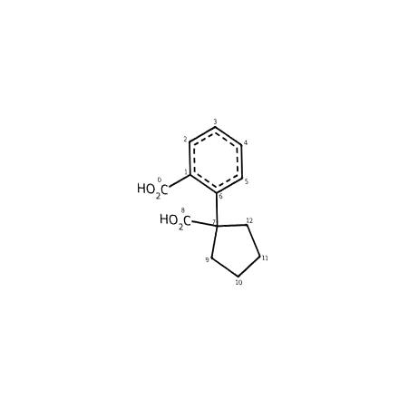 O=C(O)c1ccccc1C1(C(=O)O)CCCC1